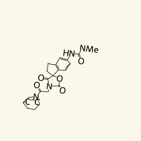 CNC(=O)Nc1ccc2c(c1)CCC21OC(=O)N(CC(=O)N2CC3CCCC2CC3)C1=O